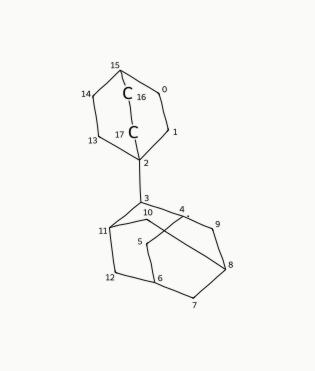 C1CC2(C3[C]4CC5CC(C4)CC3C5)CCC1CC2